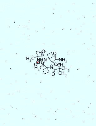 CC(C)(C)C(=O)N1C2(CCC2)[C@](O)(C(N)=O)N(C(=O)C(C)(C)C)C2(CCC2)[C@]1(C)C(N)=O